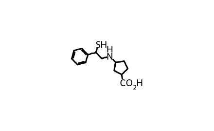 O=C(O)C1CCC(NCC(S)c2ccccc2)C1